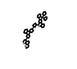 c1ccc(C2(c3ccccc3)c3ccccc3-c3cc4c(-c5cccc(-c6ccc7c8ccc(-c9ccnc%10c9ccc9cccnc9%10)cc8c8ccccc8c7c6)c5)nc5ccccc5c4cc32)cc1